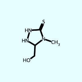 CN1C(=S)NNC1CO